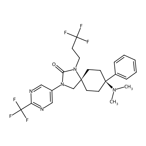 CN(C)[C@]1(c2ccccc2)CC[C@@]2(CC1)CN(c1cnc(C(F)(F)F)nc1)C(=O)N2CCC(F)(F)F